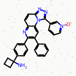 NC1(c2ccc(-c3nc4ccc5nnc(-c6ccc[n+]([O-])c6)n5c4cc3-c3ccccc3)cc2)CCC1